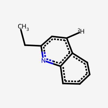 [2H]c1cc(CC)nc2ccccc12